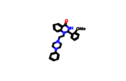 COc1ccccc1C1NC(=O)c2ccccc2N1CCN1CCN(c2ccccc2)CC1